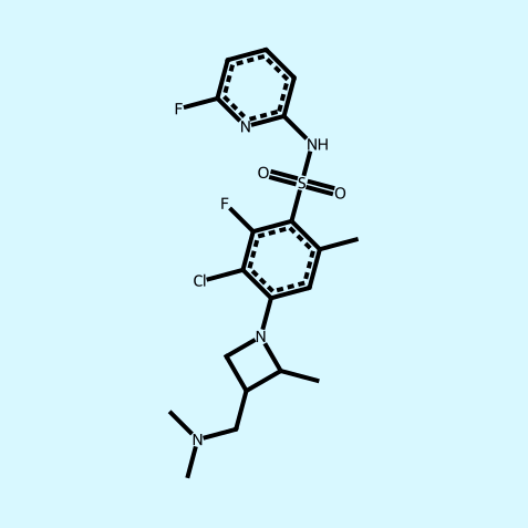 Cc1cc(N2CC(CN(C)C)C2C)c(Cl)c(F)c1S(=O)(=O)Nc1cccc(F)n1